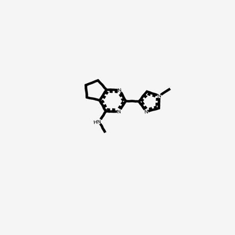 CNc1nc(-c2cn(C)cn2)nc2c1CCC2